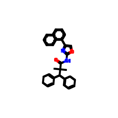 CC(C)(C(=O)Nc1nc(-c2cccc3ccccc23)co1)C(C1=CCCC=C1)C1=CC=CCC1